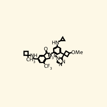 COC1CC(c2cc(NC3CC3)cc(N3Cc4c(cc(CNC5(C)CCC5)cc4C(F)(F)F)C3=O)c2)(c2nncn2C)C1